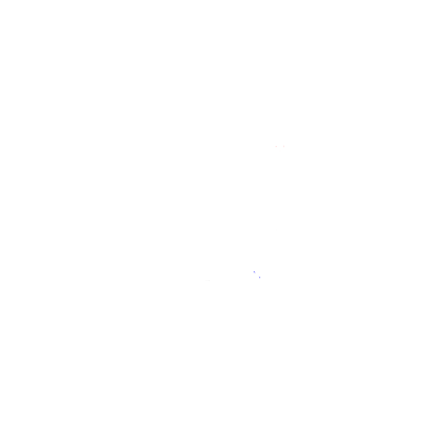 COc1ccc(-c2cccn2OC(=O)C2CCCCC2)cc1